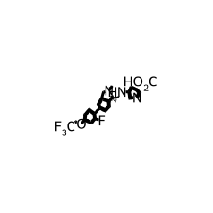 CN1Cc2cc(-c3ccc(OCC(F)(F)F)cc3F)ccc2[C@@H]1CNc1cnccc1C(=O)O